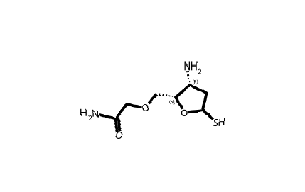 NC(=O)COC[C@H]1OC(S)C[C@H]1N